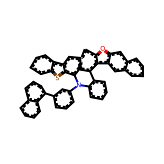 c1cc(-c2cccc3ccccc23)cc(N(c2ccccc2-c2cccc3oc4cc5ccccc5cc4c23)c2cccc3c2sc2ccccc23)c1